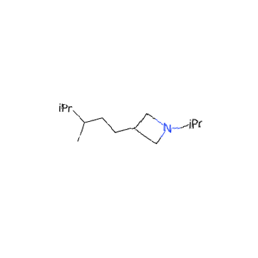 CC(C)C(C)CCC1CN(C(C)C)C1